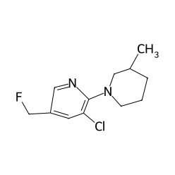 CC1CCCN(c2ncc(CF)cc2Cl)C1